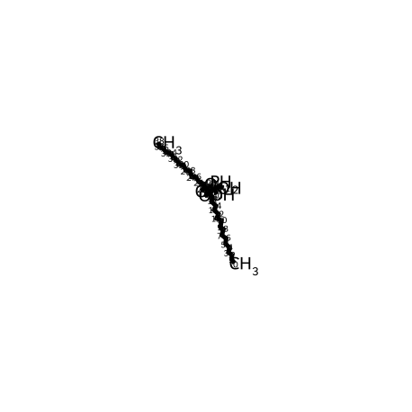 CCCCCCCCC=CCCCCCCCC(=O)C(OP)(C(=O)CCCCCCCCCCCCCCC)C(O)CO